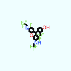 Oc1ccc(-c2c3cc(F)/c(=N\CC(F)(F)F)cc-3oc3cc(NCC(F)(F)F)c(F)cc23)c(C(F)(F)F)c1